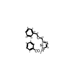 O=C(O)c1ccccc1.c1ccc(COCn2ncnn2)cc1